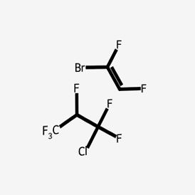 F/C=C(\F)Br.FC(C(F)(F)F)C(F)(F)Cl